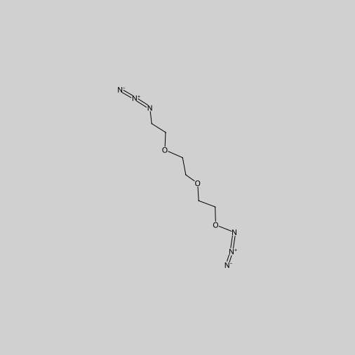 [N-]=[N+]=NCCOCCOCCON=[N+]=[N-]